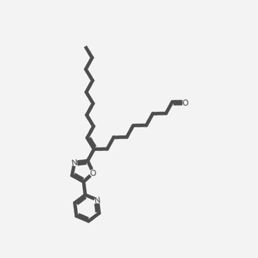 CCCCCCCC/C=C(\CCCCCCCC=O)c1ncc(-c2ccccn2)o1